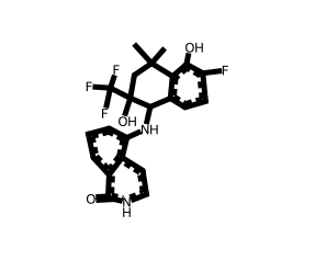 CC1(C)CC(O)(C(F)(F)F)C(Nc2cccc3c(=O)[nH]ccc23)c2ccc(F)c(O)c21